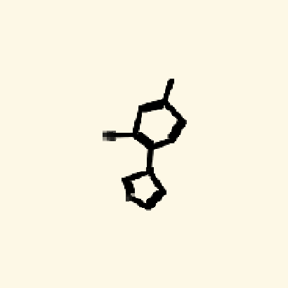 Cc1ccc(-n2ccnc2)c(S)c1